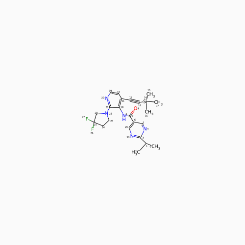 CC(C)c1ncc(C(=O)Nc2c(C#C[Si](C)(C)C)ccnc2N2CCC(F)(F)C2)cn1